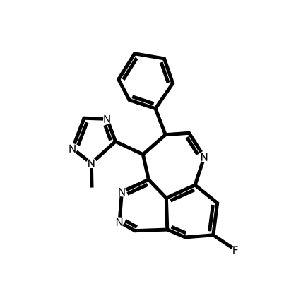 Cn1ncnc1C1c2nncc3cc(F)cc(c23)N=CC1c1ccccc1